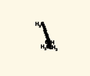 CCCCCCCCCCCSCCCOC(=O)NCCN(C)C